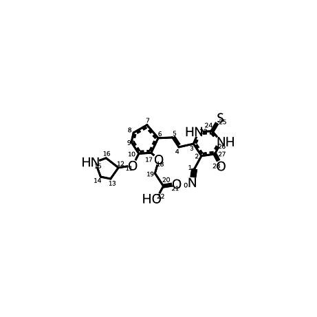 N#Cc1c(C=Cc2cccc(OC3CCNC3)c2OCC(=O)O)[nH]c(=S)[nH]c1=O